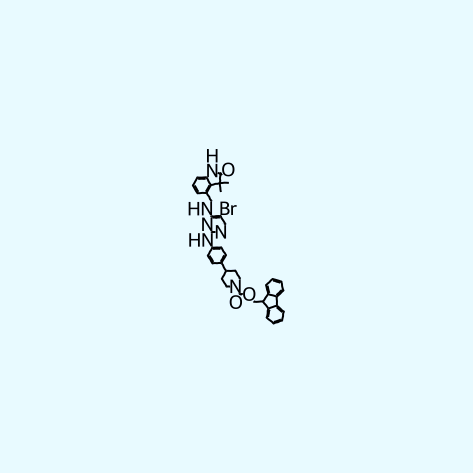 CC1(C)C(=O)Nc2cccc(CNc3nc(Nc4ccc(C5CCN(C(=O)OCC6c7ccccc7-c7ccccc76)CC5)cc4)ncc3Br)c21